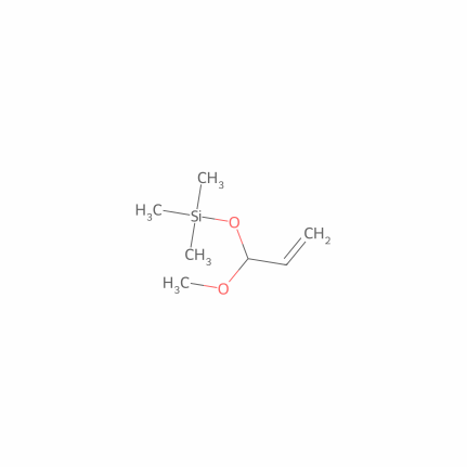 C=CC(OC)O[Si](C)(C)C